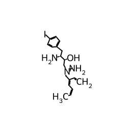 C=C/C(=C\C=C/C)CN(N)C[C@H](O)[C@@H](N)Cc1ccc(I)cc1